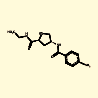 O=C(O)CNC(=O)[C@@H]1C[C@@H](NC(=O)c2ccc([N+](=O)[O-])cc2)CN1